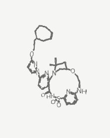 CC1(C)CC2CN1c1nc(-n3ccc(OCCC4CCCCCC4)n3)ccc1C(=O)NS(=O)(=O)c1cccc(n1)NCCO2